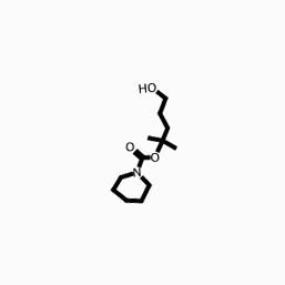 CC(C)(CCCO)OC(=O)N1CCCCC1